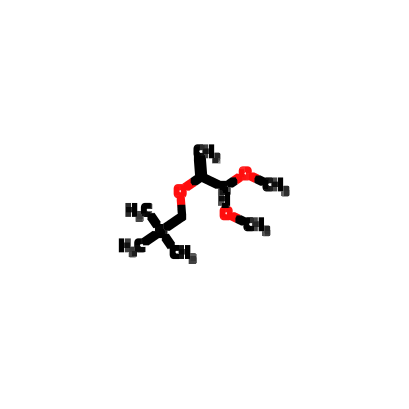 C=C(OC[Si](C)(C)C)[SiH](OC)OC